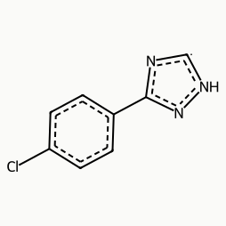 Clc1ccc(-c2n[c][nH]n2)cc1